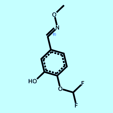 CO/N=C/c1ccc(OC(F)F)c(O)c1